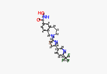 O=C(NO)c1ccc2c(c1)CCCN(c1nc(-c3ccc(C(F)(F)F)nc3)cs1)C2